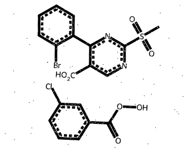 CS(=O)(=O)c1ncc(C(=O)O)c(-c2ccccc2Br)n1.O=C(OO)c1cccc(Cl)c1